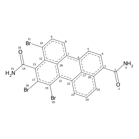 NC(=O)c1ccc2c3ccc(Br)c4c(C(N)=O)c(Br)c(Br)c(c5cccc1c25)c43